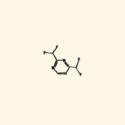 FC(F)c1[c]cnc(C(F)F)n1